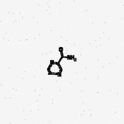 NC(=O)c1cn[c]cn1